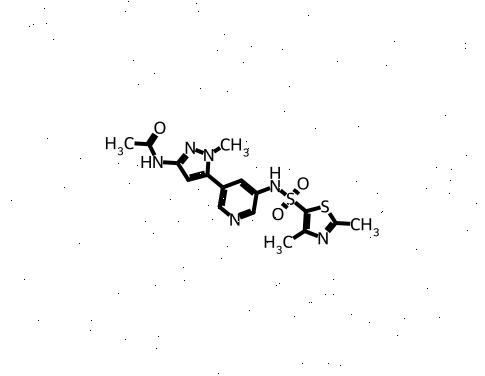 CC(=O)Nc1cc(-c2cncc(NS(=O)(=O)c3sc(C)nc3C)c2)n(C)n1